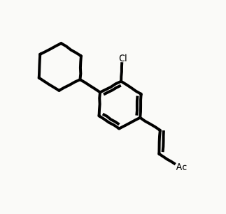 CC(=O)C=Cc1ccc(C2CCCCC2)c(Cl)c1